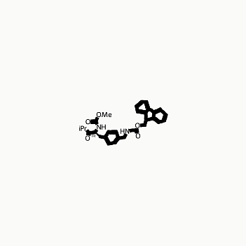 COC(=O)N[C@@H](Cc1ccc(CNC(=O)OCC2c3ccccc3-c3ccccc32)cc1)C(=O)C(C)C